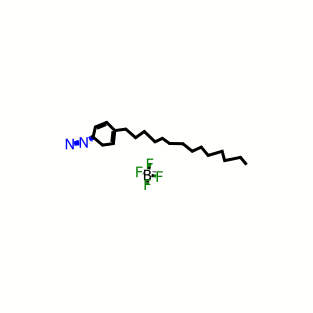 CCCCCCCCCCCCCCC1=CCC(=[N+]=[N-])C=C1.F[B-](F)(F)F